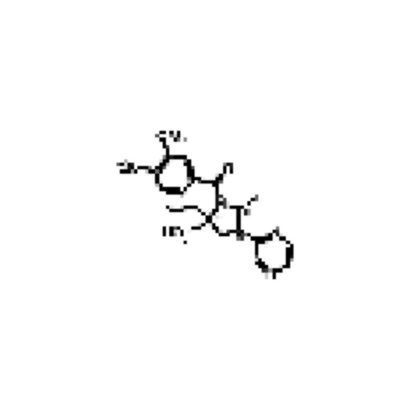 COc1cc(C(=O)N2[C@@H](C)[C@@H](c3cnccn3)C[C@@]2(CC(C)C)C(=O)O)ccc1C(C)(C)C